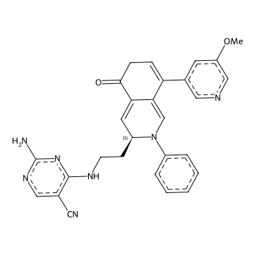 COc1cncc(C2=CCC(=O)C3=C[C@H](CCNc4nc(N)ncc4C#N)N(c4ccccc4)C=C32)c1